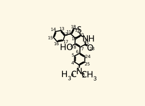 CN(C)c1ccc(-c2c(O)c3c(-c4ccccc4)csc3[nH]c2=O)cc1